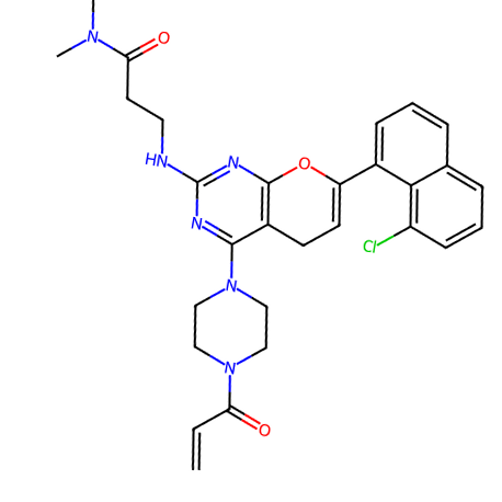 C=CC(=O)N1CCN(c2nc(NCCC(=O)N(C)C)nc3c2CC=C(c2cccc4cccc(Cl)c24)O3)CC1